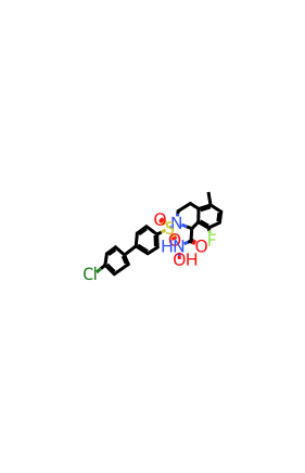 Cc1ccc(F)c2c1CCN(S(=O)(=O)c1ccc(-c3ccc(Cl)cc3)cc1)C2C(=O)NO